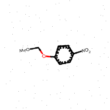 COCOc1c[c]c([N+](=O)[O-])cc1